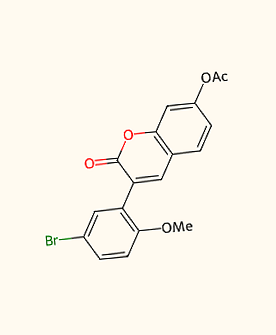 COc1ccc(Br)cc1-c1cc2ccc(OC(C)=O)cc2oc1=O